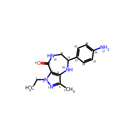 CCn1nc(C)c2c1C(=O)NCC(c1ccc(N)cc1)N2